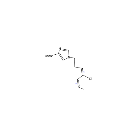 C/C=C\C(Cl)=C/CCn1cnc(NC)c1